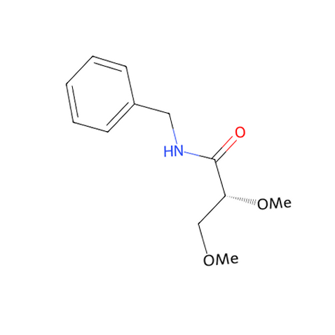 COC[C@@H](OC)C(=O)NCc1ccccc1